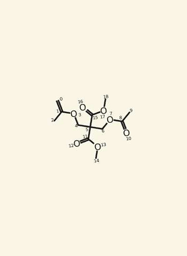 C=C(C)OCC(COC(C)=O)(C(=O)OC)C(=O)OC